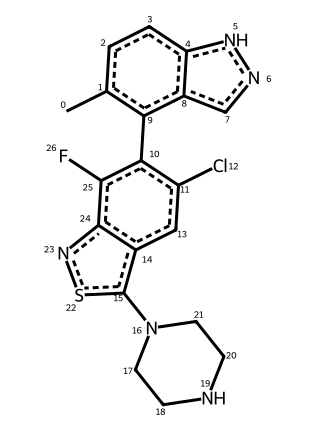 Cc1ccc2[nH]ncc2c1-c1c(Cl)cc2c(N3CCNCC3)snc2c1F